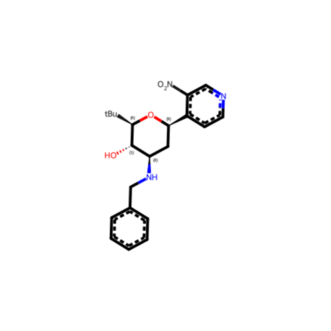 CC(C)(C)[C@H]1O[C@@H](c2ccncc2[N+](=O)[O-])C[C@@H](NCc2ccccc2)[C@@H]1O